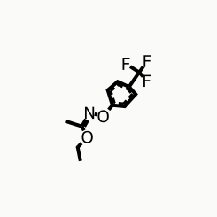 CCOC(C)=NOc1ccc(C(F)(F)F)cc1